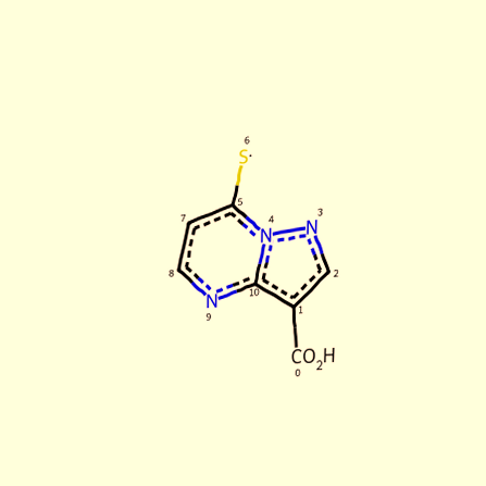 O=C(O)c1cnn2c([S])ccnc12